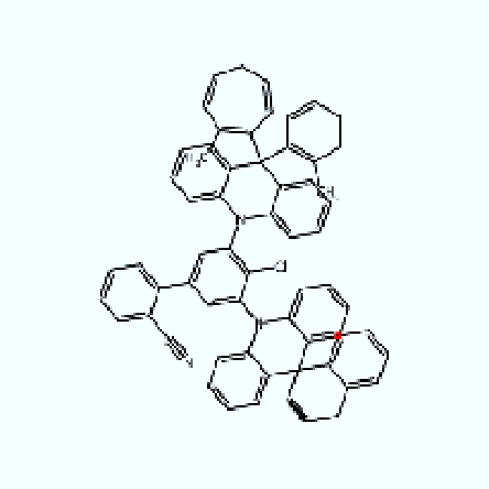 CC1=C(C2(C3=C(C)CCC=C3)c3ccccc3N(c3cc(-c4ccccc4C#N)cc(N4c5ccccc5C5(c6ccccc6Cc6ccccc65)c5ccccc54)c3Cl)c3ccccc32)C=CCC=C1